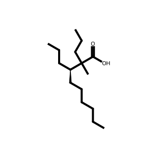 CCCCCC[C@@H](CCC)C(C)(CCC)C(=O)O